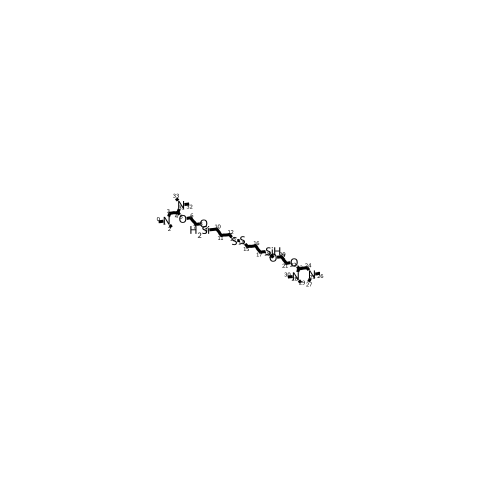 CN(C)CC(OCCO[SiH2]CCCSSCCC[SiH2]OCCOC(CN(C)C)N(C)C)N(C)C